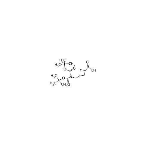 CC(C)(C)OC(=O)N(CC1CC(C(=O)O)C1)C(=O)OC(C)(C)C